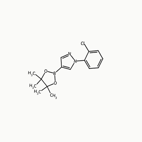 CC1(C)OB(c2cnn(-c3ccccc3Cl)c2)OC1(C)C